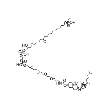 CCP(=O)(O)OCCCCCCCCCCC(=O)CCCCOCC(O)COP(=O)(O)OCOP(=O)(O)OCCOCCOCCOCCOCCCNC(=O)O[C@H]1CC[C@@]2(C)C(=CC[C@H]3[C@@H]4CC[C@H]([C@H](C)CCCC(C)C)[C@@]4(C)CC[C@@H]32)C1